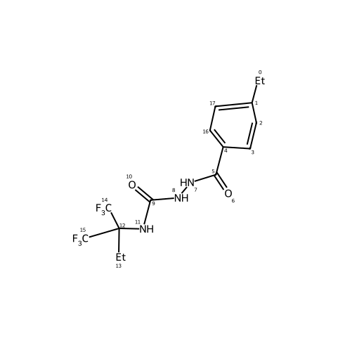 CCc1ccc(C(=O)NNC(=O)NC(CC)(C(F)(F)F)C(F)(F)F)cc1